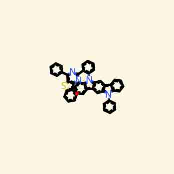 c1ccc(-c2nc(-c3ccccc3-n3c4ccccc4c4cc5c(cc43)c3ccccc3n5-c3ccccc3)nc3c2sc2ccccc23)cc1